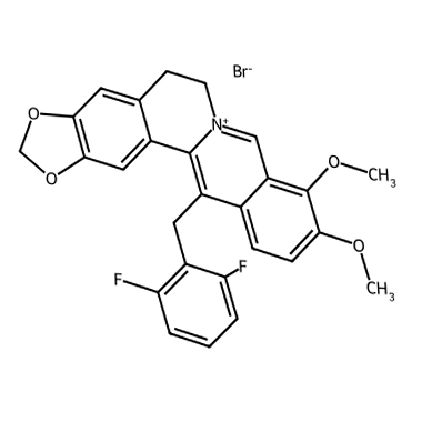 COc1ccc2c(Cc3c(F)cccc3F)c3[n+](cc2c1OC)CCc1cc2c(cc1-3)OCO2.[Br-]